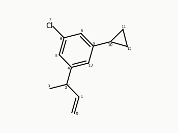 C=C[C](C)c1cc(Cl)cc(C2CC2)c1